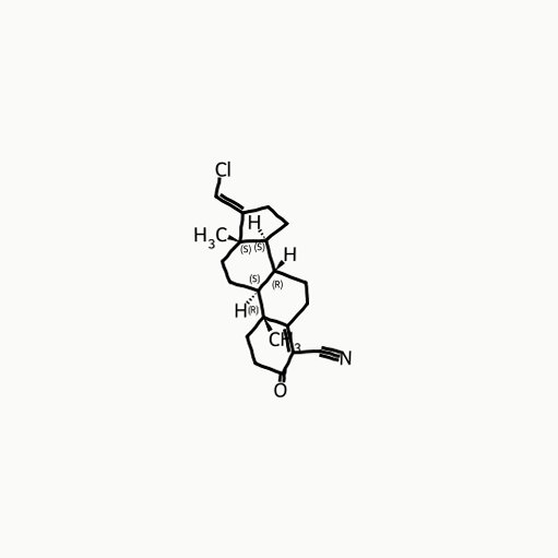 C[C@]12CCC(=O)C(C#N)=C1CC[C@@H]1[C@@H]2CC[C@]2(C)C(=CCl)CC[C@@H]12